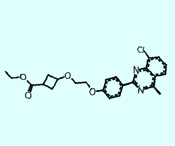 CCOC(=O)C1CC(OCCOc2ccc(-c3nc(C)c4cccc(Cl)c4n3)cc2)C1